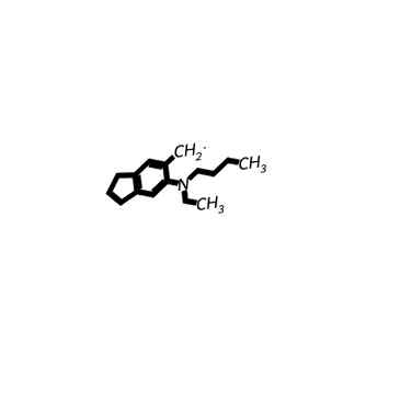 [CH2]c1cc2c(cc1N(CC)CCCC)CCC2